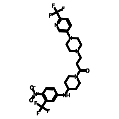 O=C(CCN1CCN(c2ccc(C(F)(F)F)nc2)CC1)N1CCC(Nc2ccc([N+](=O)[O-])c(C(F)(F)F)c2)CC1